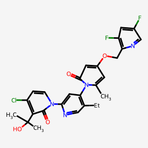 CCc1cnc(-n2ccc(Cl)c(C(C)(C)O)c2=O)cc1-n1c(C)cc(OCc2ncc(F)cc2F)cc1=O